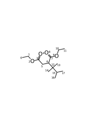 CCOC(=O)CC(C(=O)OCC)C(C)(C)C(C)C